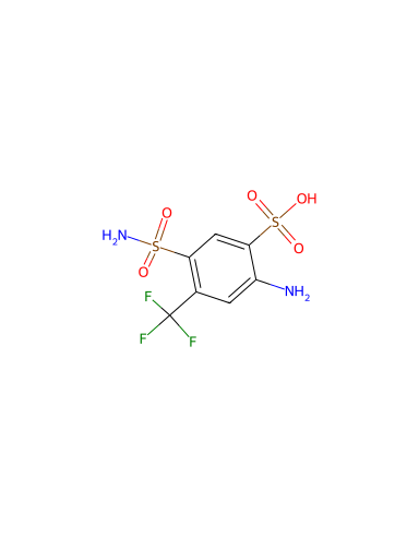 Nc1cc(C(F)(F)F)c(S(N)(=O)=O)cc1S(=O)(=O)O